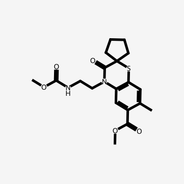 COC(=O)NCCN1C(=O)C2(CCCC2)Sc2cc(C)c(C(=O)OC)cc21